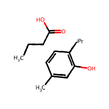 CCCC(=O)O.Cc1ccc(C(C)C)c(O)c1